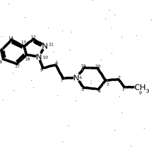 CCCC1CCN(CCCn2ncc3ccccc32)CC1